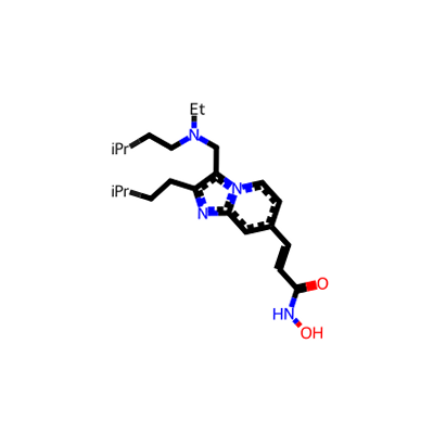 CCN(CCC(C)C)Cc1c(CCC(C)C)nc2cc(C=CC(=O)NO)ccn12